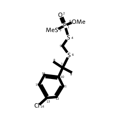 COP(=O)(SC)SCSC(C)(C)c1ccc(Cl)cc1